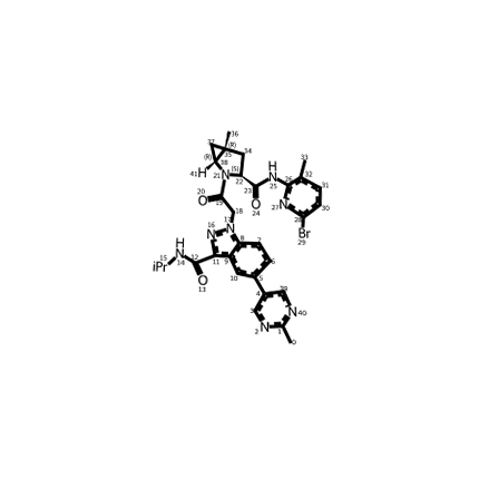 Cc1ncc(-c2ccc3c(c2)c(C(=O)NC(C)C)nn3CC(=O)N2[C@H](C(=O)Nc3nc(Br)ccc3C)C[C@@]3(C)C[C@@H]23)cn1